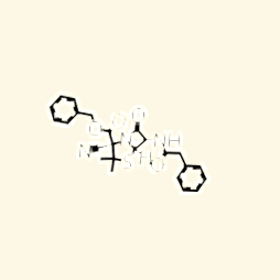 CC1(C)S[C@@H]2[C@@H](NC(=O)Cc3ccccc3)C(=O)N2[C@@]1(C#N)C(=O)OCc1ccccc1